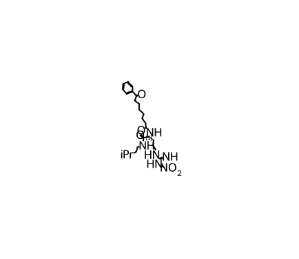 CC(C)CCNC(=O)[C@H](CCCNC(=N)N[N+](=O)[O-])NC(=O)CCCCCCC(=O)c1ccccc1